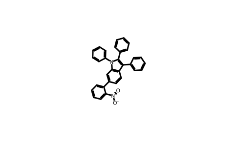 O=[N+]([O-])c1ccccc1-c1ccc2c(-c3ccccc3)c(-c3ccccc3)n(-c3ccccc3)c2c1